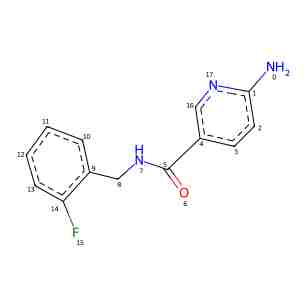 Nc1ccc(C(=O)NCc2ccccc2F)cn1